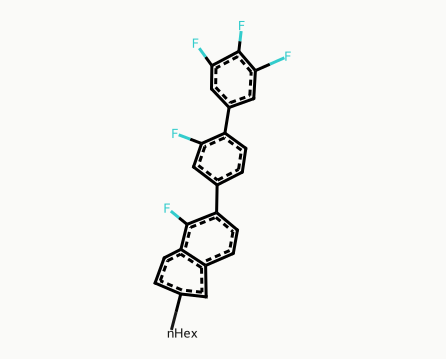 CCCCCCc1ccc2c(F)c(-c3ccc(-c4cc(F)c(F)c(F)c4)c(F)c3)ccc2c1